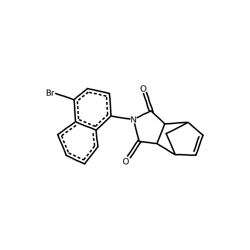 O=C1C2C3C=CC(C3)C2C(=O)N1c1ccc(Br)c2ccccc12